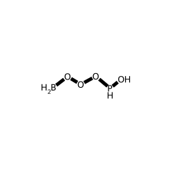 BOOOPO